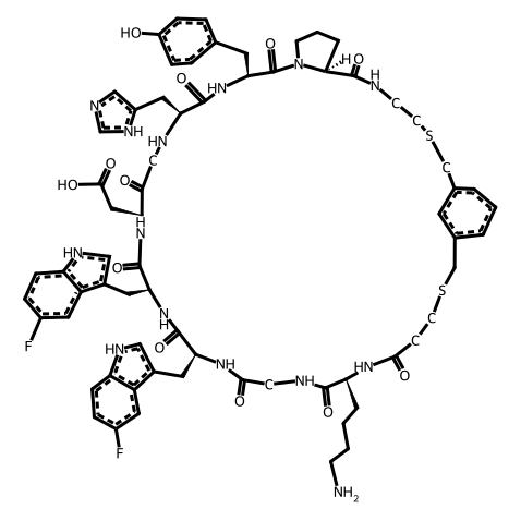 NCCCC[C@@H]1NC(=O)CCSCc2cccc(c2)CSCCNC(=O)[C@@H]2CCCN2C(=O)[C@H](Cc2ccc(O)cc2)NC(=O)[C@H](Cc2cnc[nH]2)NCC(=O)[C@H](CC(=O)O)NC(=O)[C@H](Cc2c[nH]c3ccc(F)cc23)NC(=O)[C@H](Cc2c[nH]c3ccc(F)cc23)NC(=O)CNC1=O